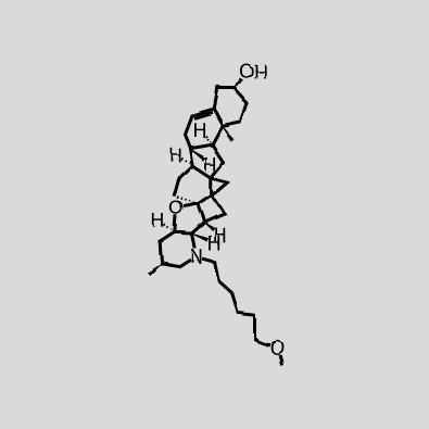 COCCCCCCN1C[C@@H](C)C[C@H]2O[C@@]34CC[C@H]5[C@@H]6CC=C7C[C@@H](O)CC[C@]7(C)[C@H]6CC56CC63C[C@@H]4[C@@H]21